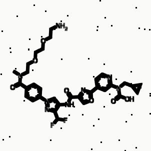 CN(CCOCCOCCN)C(=O)c1ccc(-n2cc(NC(=O)c3coc(-c4ccnc(N(CC5CC5)C(=O)O)c4)n3)c(C(F)F)n2)cc1